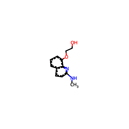 CNc1ccc2cccc(OCCO)c2n1